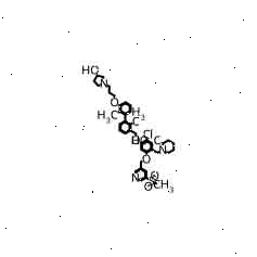 Cc1c(COc2cc(OCc3cncc(S(C)(=O)=O)c3)c(CN3CCCC[C@H]3C(=O)O)cc2Cl)cccc1-c1cccc(OCCCN2CC[C@@H](O)C2)c1C